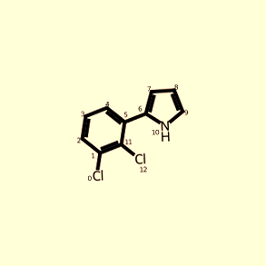 Clc1cccc(-c2ccc[nH]2)c1Cl